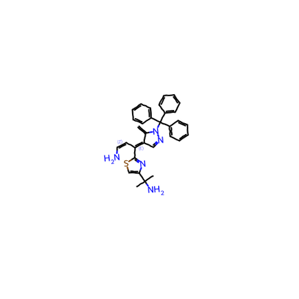 C=c1/c(=C(\C=C/N)c2nc(C(C)(C)N)cs2)cnn1C(c1ccccc1)(c1ccccc1)c1ccccc1